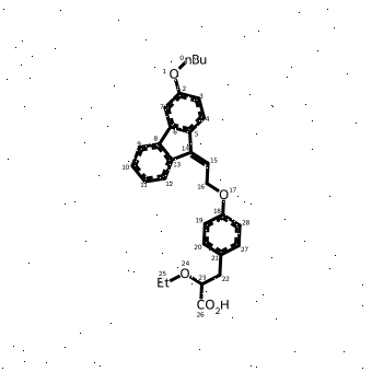 CCCCOc1ccc2c(c1)-c1ccccc1/C2=C\COc1ccc(CC(OCC)C(=O)O)cc1